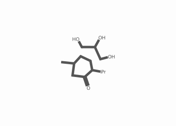 CC1CCC(C(C)C)C(=O)C1.OCC(O)CO